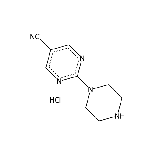 Cl.N#Cc1cnc(N2CCNCC2)nc1